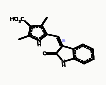 Cc1[nH]c(/C=C2\C(=O)Nc3ccccc32)c(C)c1C(=O)O